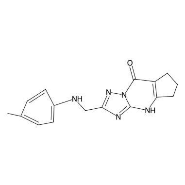 Cc1ccc(NCc2nc3[nH]c4c(c(=O)n3n2)CCC4)cc1